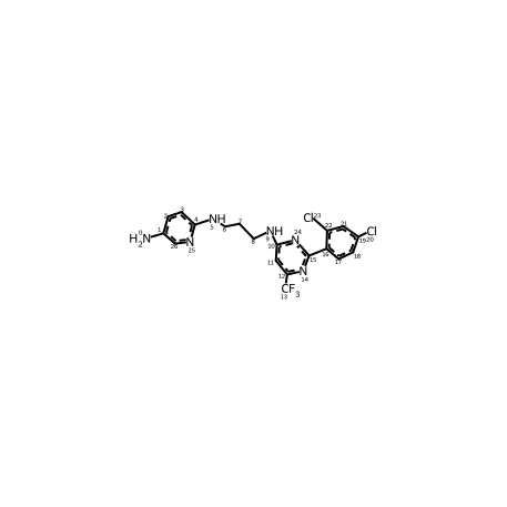 Nc1ccc(NCCCNc2cc(C(F)(F)F)nc(-c3ccc(Cl)cc3Cl)n2)nc1